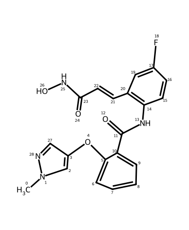 Cn1cc(Oc2ccccc2C(=O)Nc2ccc(F)cc2C=CC(=O)NO)cn1